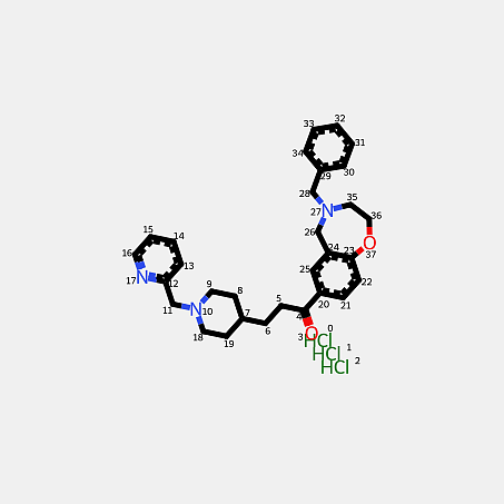 Cl.Cl.Cl.O=C(CCC1CCN(Cc2ccccn2)CC1)c1ccc2c(c1)CN(Cc1ccccc1)CCO2